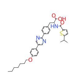 CCCCCCCOc1ccc(-c2cnc(-c3ccc(CC(NC(=O)c4ccc(C(C)C)s4)C(=O)O)cc3)nc2)cc1